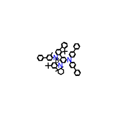 Cc1cc(-c2ccccc2)ccc1N1B2c3cc(C(C)(C)C)cc4c3N(c3cc(N(c5ccc(-c6ccccc6)cc5)c5ccc(-c6ccccc6)cc5)cc(c32)-c2c1ccc1c2C(C)(C)c2ccccc2-1)C1(C)CCCCC41C